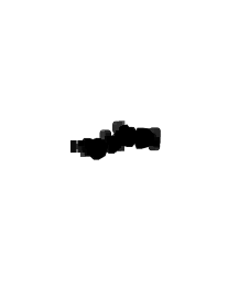 CS(=O)(=O)c1ccc(-c2cc(Cl)c(C[C@@H]3CCN([C@H]4CCc5n[nH]cc5C4)C3=O)c(Cl)c2)cc1